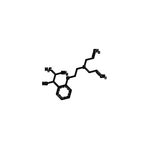 C=CCN(CC=C)CCOc1ccccc1C(O)C(C)N